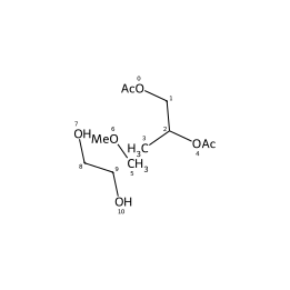 CC(=O)OCC(C)OC(C)=O.COC.OCCO